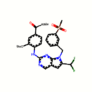 CNC(=O)c1ccc(Nc2ncc3cc(C(F)F)n(Cc4cccc(S(C)(=O)=O)c4)c3n2)c(OC)c1